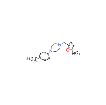 CCOC(=O)c1ccc(N2CCN(Cc3ccc([N+](=O)[O-])o3)CC2)cc1